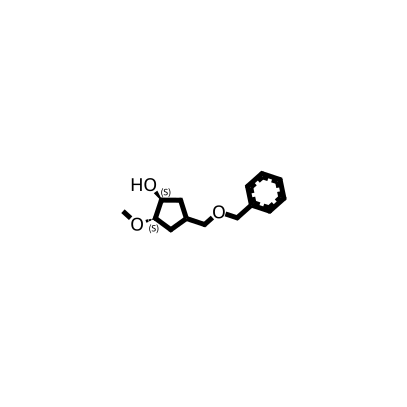 CO[C@H]1CC(COCc2ccccc2)C[C@@H]1O